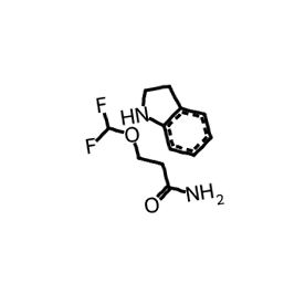 NC(=O)CCOC(F)F.c1ccc2c(c1)CCN2